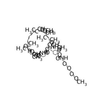 CCOCCOCCOCCOCCNC(=O)O[C@@H]1CC[C@@H](C[C@@H](N)[C@@H]2C[C@@H](OC)[C@H](C)/C=C(\C)[C@@H](O)[C@@H](OC)C(=O)[C@H](C)C[C@H](C)/C=C/C=C/C=C(\C)[C@@H](OC)C[C@@H]3CC[C@@H](C)[C@@](O)(O3)C(=O)C(=O)N3CCCC[C@H]3C(=O)O2)C[C@H]1OC